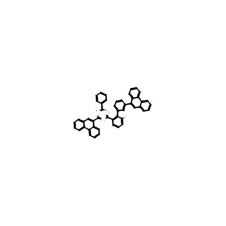 c1ccc(-c2nc(-c3cc4ccccc4c4ccccc34)nc(-c3cccc4oc5c(-c6cc7ccccc7c7ccccc67)cccc5c34)n2)cc1